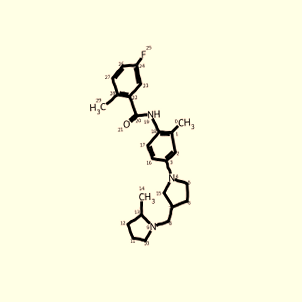 Cc1cc(N2CCC(CN3CCCC3C)C2)ccc1NC(=O)c1cc(F)ccc1C